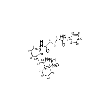 O=C(CCCC(=O)Nc1cccc(Cc2n[nH]c(=O)c3c2CCCC3)c1)Nc1ccccc1